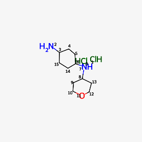 Cl.Cl.NC1CCC(NC2CCOCC2)CC1